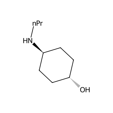 CCCN[C@H]1CC[C@H](O)CC1